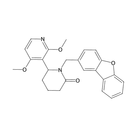 COc1ccnc(OC)c1C1CCCC(=O)N1Cc1ccc2oc3ccccc3c2c1